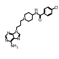 Nc1ncnc2c1ncn2CCCN1CCC(NC(=O)c2ccc(Cl)cc2)CC1